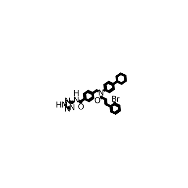 O=C(Nc1nn[nH]n1)c1ccc(CN(C(=O)/C=C/c2ccccc2Br)c2ccc(C3CCCCC3)cc2)cc1